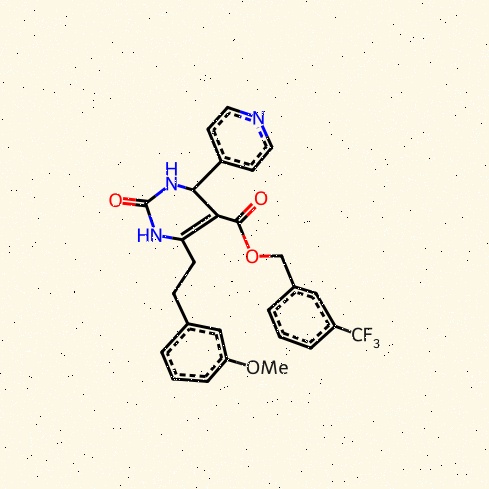 COc1cccc(CCC2=C(C(=O)OCc3cccc(C(F)(F)F)c3)C(c3ccncc3)NC(=O)N2)c1